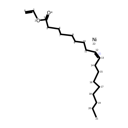 C=COC(=O)CCCCCCC/C=C\CCCCCCCC.[Ni]